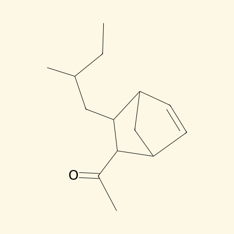 CCC(C)CC1C2C=CC(C2)C1C(C)=O